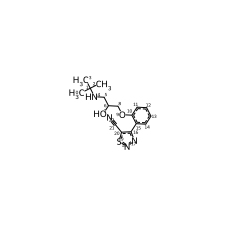 CC(C)(C)NCC(O)COc1ccccc1-c1nnsc1C#N